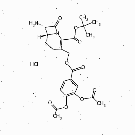 CC(=O)Oc1ccc(C(=O)OCC2=C(C(=O)OC(C)(C)C)N3C(=O)[C@@H](N)[C@H]3SC2)cc1OC(C)=O.Cl